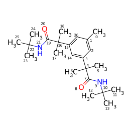 Cc1cc(C(C)(C)C(=O)NC(C)(C)C)cc(C(C)(C)C(=O)NC(C)(C)C)c1